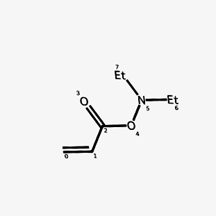 C=CC(=O)ON(CC)CC